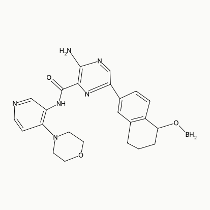 BOC1CCCc2cc(-c3cnc(N)c(C(=O)Nc4cnccc4N4CCOCC4)n3)ccc21